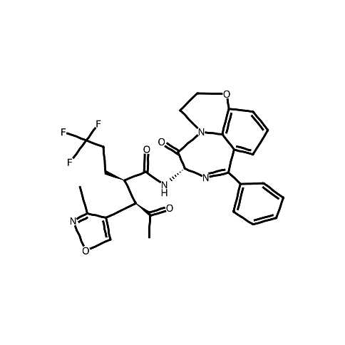 CC(=O)[C@@H](c1conc1C)[C@@H](CCC(F)(F)F)C(=O)N[C@H]1N=C(c2ccccc2)c2cccc3c2N(CCO3)C1=O